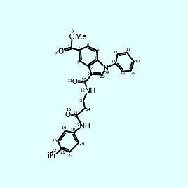 COC(=O)c1ccc2c(c1)c(C(=O)NCCC(=O)Nc1ccc(C(C)C)cc1)cn2-c1ccccc1